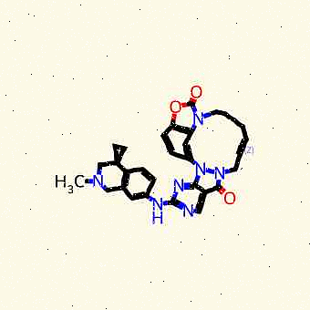 CN1Cc2cc(Nc3ncc4c(=O)n5n(c4n3)-c3ccc4oc(=O)n(c4c3)CCC/C=C\C5)ccc2C2(CC2)C1